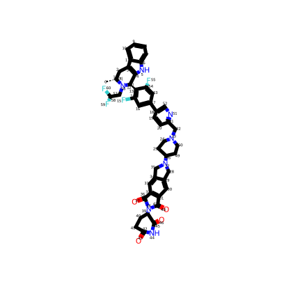 C[C@@H]1Cc2c([nH]c3ccccc23)[C@@H](c2c(F)cc(-c3ccc(CN4CCC(N5Cc6cc7c(cc6C5)C(=O)N(C5CCC(=O)NC5=O)C7=O)CC4)nc3)cc2F)N1CC(F)F